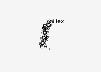 CCCCCCOc1ccc(OC(=O)c2ccc(-c3ccc(-c4ccc(C)cc4)c(F)c3F)cc2)c(F)c1